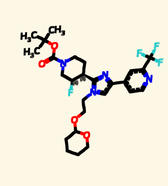 CC(C)(C)OC(=O)N1CC[C@@H](c2nc(-c3ccnc(C(F)(F)F)c3)cn2CCOC2CCCCO2)[C@@H](F)C1